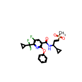 CS(=O)(=O)/C=C/C(NC(=O)c1cc(F)c(C(F)(F)C2CC2)nc1Oc1ccccc1)C1CC1